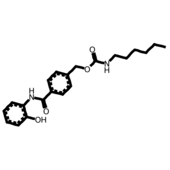 CCCCCCNC(=O)OCc1ccc(C(=O)Nc2ccccc2O)cc1